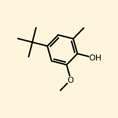 COc1cc(C(C)(C)C)cc(C)c1O